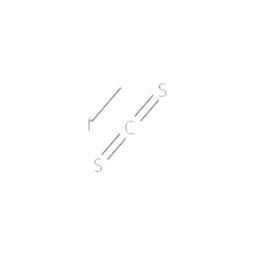 CI.S=C=S